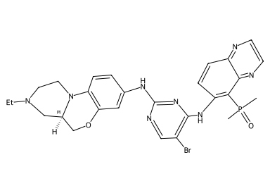 CCN1CCN2c3ccc(Nc4ncc(Br)c(Nc5ccc6nccnc6c5P(C)(C)=O)n4)cc3OC[C@H]2C1